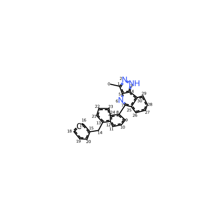 Cc1n[nH]c2c1nc(-c1cccc3c(Cc4ccccc4)cccc13)c1ccccc12